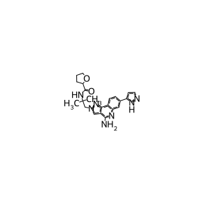 CC(C)(Cn1cc2c(N)nc3cc(-c4ccn[nH]4)ccc3c2n1)NC(=O)C1CCCO1